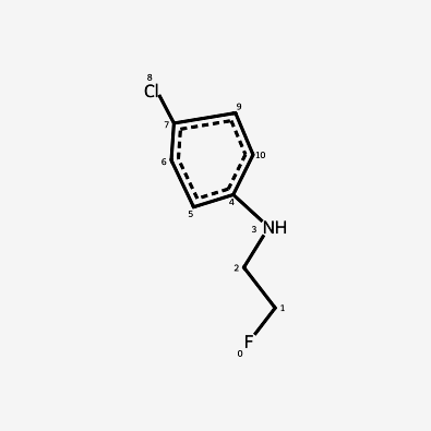 FCCNc1ccc(Cl)cc1